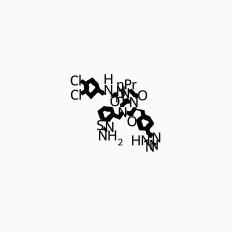 CCCN(C(=O)NCc1ccc(Cl)c(Cl)c1)N1CC(=O)N2[C@@H](Cc3ccc(-c4nnn[nH]4)cc3)C(=O)N(Cc3cccc4sc(N)nc34)C[C@@H]21